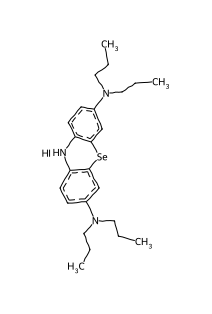 CCCN(CCC)c1ccc2c(c1)[Se]c1cc(N(CCC)CCC)ccc1N2.I